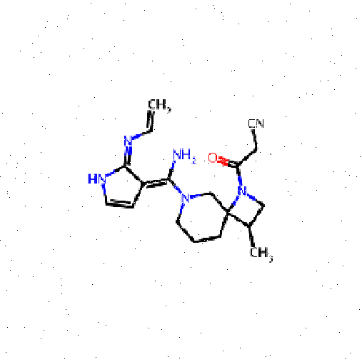 C=C/N=C1/NC=C/C1=C(/N)N1CCCC2(C1)C(C)CN2C(=O)CC#N